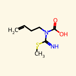 C=CCCN(C(=N)SC)C(=O)O